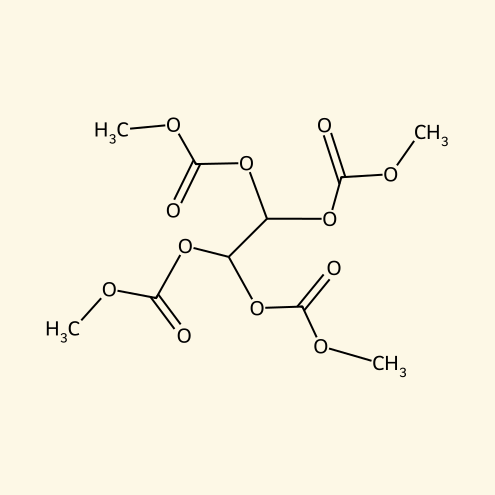 COC(=O)OC(OC(=O)OC)C(OC(=O)OC)OC(=O)OC